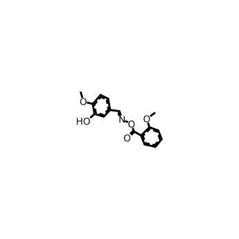 COc1ccc(/C=N/OC(=O)c2ccccc2OC)cc1O